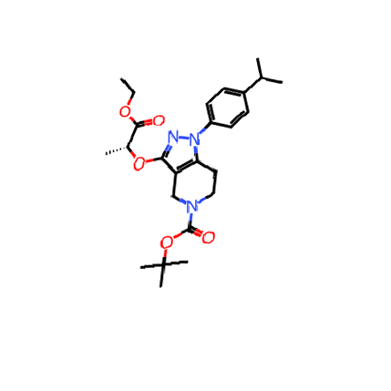 CCOC(=O)[C@@H](C)Oc1nn(-c2ccc(C(C)C)cc2)c2c1CN(C(=O)OC(C)(C)C)CC2